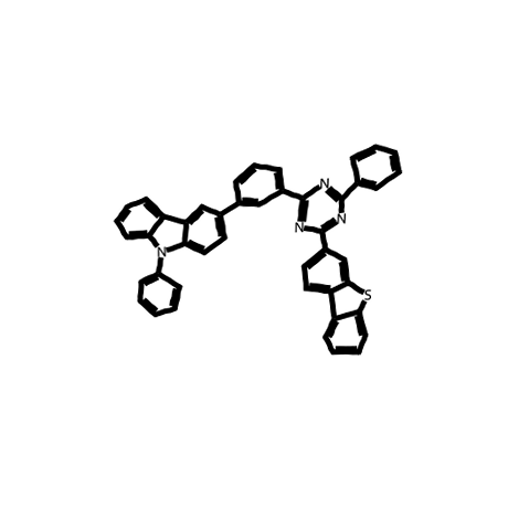 c1ccc(-c2nc(-c3cccc(-c4ccc5c(c4)c4ccccc4n5-c4ccccc4)c3)nc(-c3ccc4c(c3)sc3ccccc34)n2)cc1